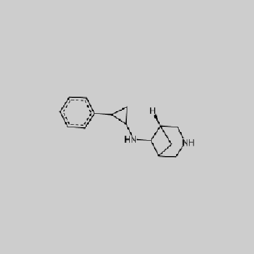 c1ccc(C2CC2NC2C3CNC[C@@H]2C3)cc1